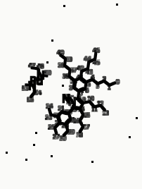 CCCCCc1cc(C2=C(CCCC)C(CCCC)=C(c3cc(CC)c(CC)c(CC)c3)[N+]2=[N-])cc(CCCCC)c1CCCCC.CC[N](C)[Pd][N](C)CC